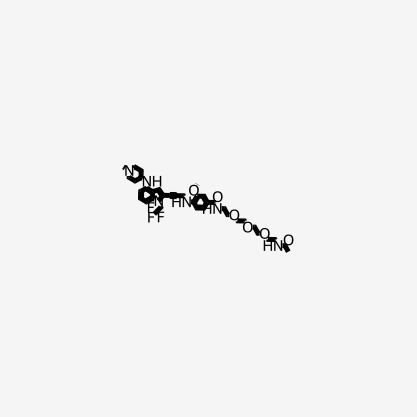 COc1cc(C(=O)NCCOCCOCCOCCNC(C)=O)ccc1NCC#Cc1cc2c(NC3CCN(C)CC3)cccc2n1CC(F)(F)F